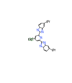 CC(C)C1=CC2=NC(c3cccc(C4=NC5C=CC(C(C)C)=CC5=N4)n3)=NC2C=C1.[Cl-].[Cl-].[Fe+2]